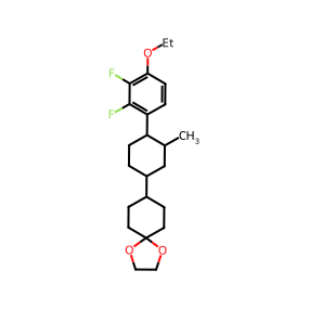 CCOc1ccc(C2CCC(C3CCC4(CC3)OCCO4)CC2C)c(F)c1F